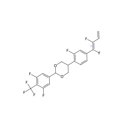 C=C/C(F)=C(\F)c1ccc(C2COC(c3cc(F)c(C(F)(F)F)c(F)c3)OC2)c(F)c1